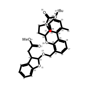 COC(=O)CC1c2ccccc2OC1OCc1cccc(-c2c(C)cccc2C)c1OC1CCN(C(=O)OC(C)(C)C)C1